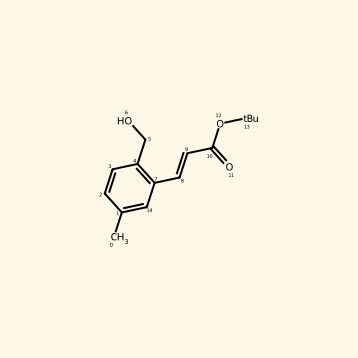 Cc1ccc(CO)c(/C=C/C(=O)OC(C)(C)C)c1